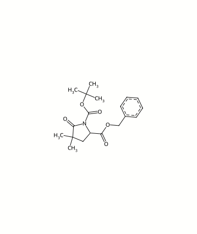 CC(C)(C)OC(=O)N1C(=O)C(C)(C)CC1C(=O)OCc1ccccc1